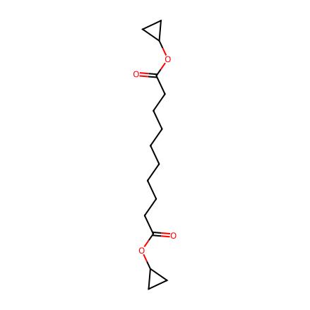 O=C(CCCCCCCCC(=O)OC1CC1)OC1CC1